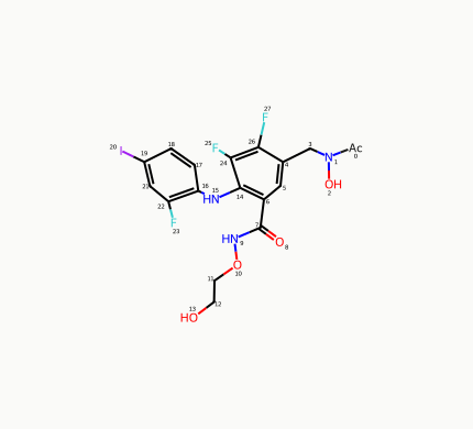 CC(=O)N(O)Cc1cc(C(=O)NOCCO)c(Nc2ccc(I)cc2F)c(F)c1F